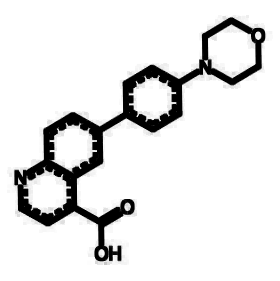 O=C(O)c1ccnc2ccc(-c3ccc(N4CCOCC4)cc3)cc12